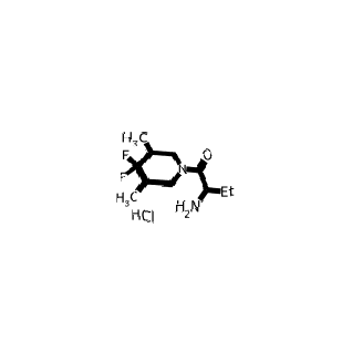 CCC(N)C(=O)N1CC(C)C(F)(F)C(C)C1.Cl